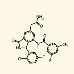 NC(=O)Cc1cc(NC(=O)c2cc(F)cc(C(F)(F)F)c2)c2c(c1)C(=O)NC2c1cc(F)ccc1Cl